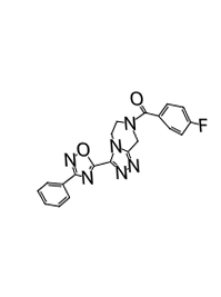 O=C(c1ccc(F)cc1)N1CCn2c(nnc2-c2nc(-c3ccccc3)no2)C1